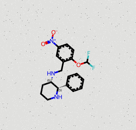 O=[N+]([O-])c1ccc(OC(F)F)c(CN[C@H]2CCCN[C@H]2c2ccccc2)c1